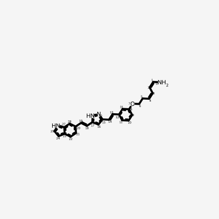 N/C=C\C=C/CCOc1cccc(/C=C/c2cc(/C=C/c3ccc4cc[nH]c4c3)[nH]n2)c1